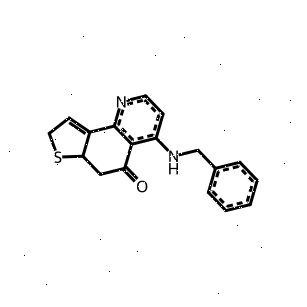 O=C1CC2SCC=C2c2nccc(NCc3ccccc3)c21